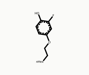 CCCCCCCCOc1ccc(O)c(F)c1